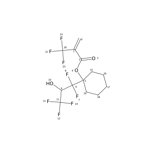 C=C(C(=O)OC1(C(F)(F)C(O)C(F)(F)F)CCCCC1)C(F)(F)F